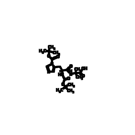 CC(C)(C)OC(=O)N[C@@H](Cc1cncn1C(=O)OC(C)(C)C)C(=O)NC(C)(C)C(=O)O